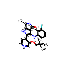 COc1c(F)cccc1Nc1c(-c2ccncc2OCC(C)(C)OC)[nH]c2c1C(=O)N[C@@H]2C